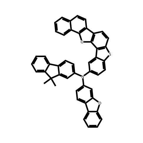 CC1(C)c2ccccc2-c2ccc(N(c3ccc4c(c3)oc3ccccc34)c3ccc4sc5ccc6c7ccc8ccccc8c7oc6c5c4c3)cc21